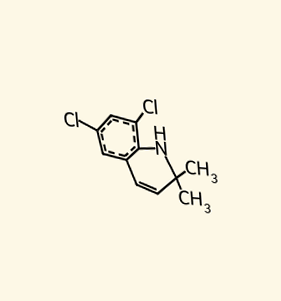 CC1(C)C=Cc2cc(Cl)cc(Cl)c2N1